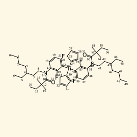 CCCCC(CC)CCN(C(=O)C(C)(C)CC)c1ccc(F)[c]([Ti]([C]2=CC=CC2)([C]2=CC=CC2)[c]2c(F)ccc(N(CCC(CC)CCCC)C(=O)C(C)(C)CC)c2F)c1F